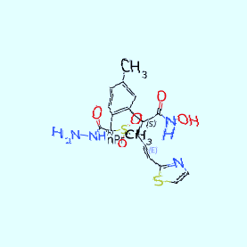 CCC[C@](C(=O)NN)(c1ccc(C)cc1[C@H](C/C=C/c1nccs1)C(=O)NO)S(C)(=O)=O